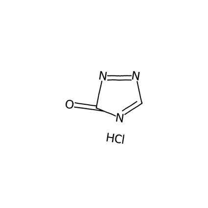 Cl.O=C1N=CN=N1